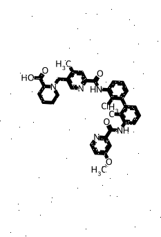 COc1ccnc(C(=O)Nc2cccc(-c3cccc(NC(=O)c4cc(C)c(CN5CCCCC5C(=O)O)cn4)c3Cl)c2C)c1